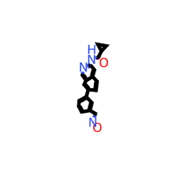 O=NCc1cccc(-c2ccc3cc(NC(=O)C4CC4)ncc3c2)c1